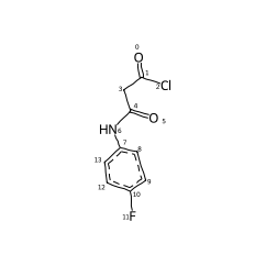 O=C(Cl)CC(=O)Nc1ccc(F)cc1